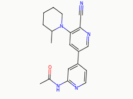 CC(=O)Nc1cc(-c2cnc(C#N)c(N3CCCCC3C)c2)ccn1